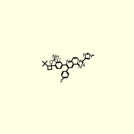 Cn1cnc(-c2nnc3c4cc(-c5ccc(F)cc5)c(-c5ccc(C6(OC(N)=O)CCC6C(C)(C)C)cc5)nc4ccn23)c1